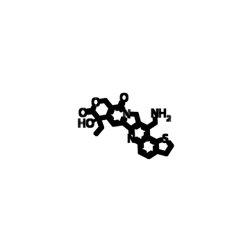 CC[C@@]1(O)C(=O)OCc2c1cc1n(c2=O)Cc2c-1nc1ccc3c(c1c2CN)SCC3